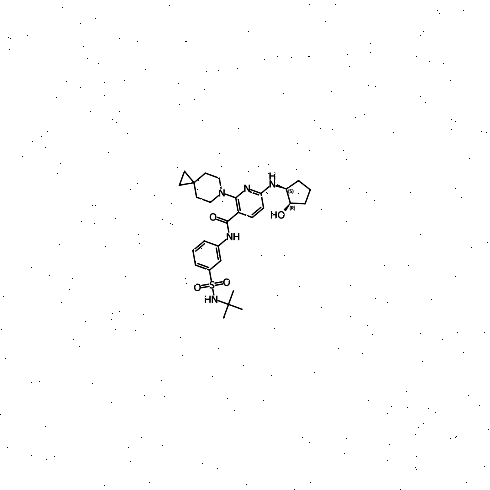 CC(C)(C)NS(=O)(=O)c1cccc(NC(=O)c2ccc(N[C@H]3CCC[C@H]3O)nc2N2CCC3(CC2)CC3)c1